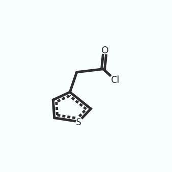 O=C(Cl)Cc1ccsc1